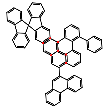 c1ccc(-c2ccccc2-c2c(-c3ccccc3)cccc2N(c2ccc(-c3cc4ccccc4c4ccccc34)cc2)c2ccc3c(c2)-c2ccccc2C32c3ccccc3-c3ccccc32)cc1